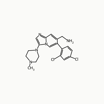 CN1CCN(c2cnc3cc(CN)c(-c4ccc(Cl)cc4Cl)cn23)CC1